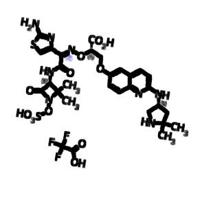 CC1(C)C[C@H](Nc2ccc3cc(OC[C@H](O/N=C(\C(=O)N[C@@H]4C(=O)N(OS(=O)(=O)O)C4(C)C)c4csc(N)n4)C(=O)O)ccc3n2)CN1.O=C(O)C(F)(F)F